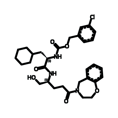 O=C(N[C@@H](CC1CCCCC1)C(=O)N[C@H](CO)CCC(=O)N1CCOc2ccccc2C1)OCc1cccc(Cl)c1